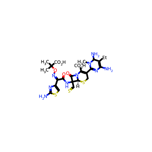 CCC1=C(N)N=C(C2=C(C(=O)O)N3C(=O)C(C=S)(NC(=O)/C(=N\OC(C)(C)C(=O)O)c4csc(N)n4)[C@@H]3SC2)N(C)C1N